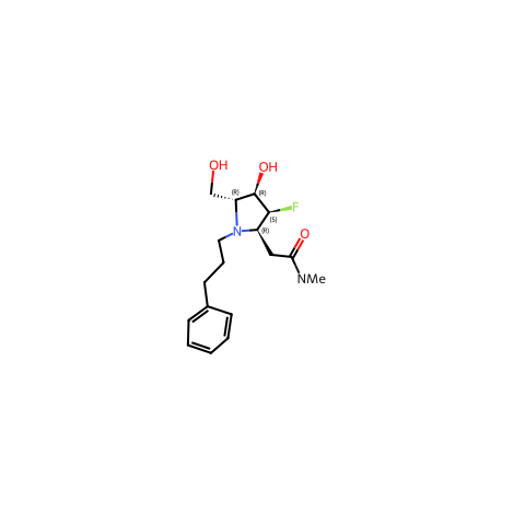 CNC(=O)C[C@@H]1[C@H](F)[C@H](O)[C@@H](CO)N1CCCc1ccccc1